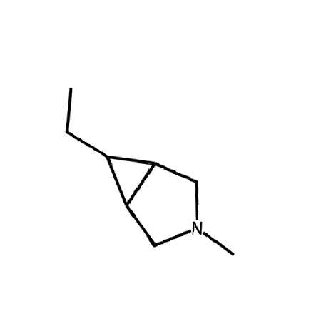 CCC1C2CN(C)CC12